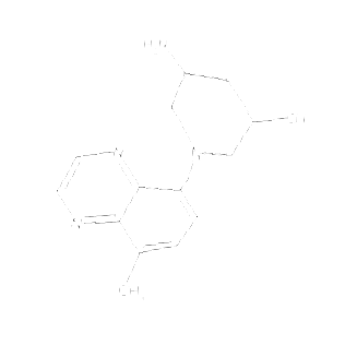 Cc1ccc(N2CC(C)CC(N)C2)c2nccnc12